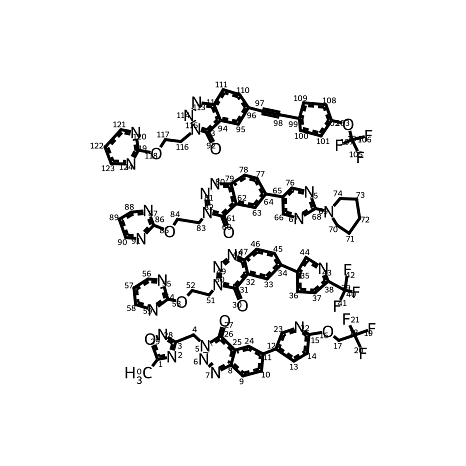 Cc1nc(Cn2nnc3ccc(-c4ccc(OCC(F)(F)F)nc4)cc3c2=O)no1.O=c1c2cc(-c3ccc(C(F)(F)F)nc3)ccc2nnn1CCOc1ncccn1.O=c1c2cc(-c3cnc(N4CCCCC4)nc3)ccc2nnn1CCOc1ncccn1.O=c1c2cc(C#Cc3ccc(OC(F)(F)F)cc3)ccc2nnn1CCOc1ncccn1